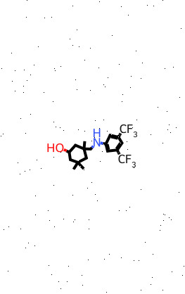 CC1(C)CC(O)CC(C)(CNc2cc(C(F)(F)F)cc(C(F)(F)F)c2)C1